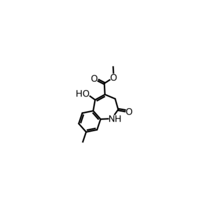 COC(=O)C1=C(O)c2ccc(C)cc2NC(=O)C1